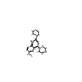 Cc1ccc2nc(N3CCSCC3)nc(N3CCSCC3)c2n1